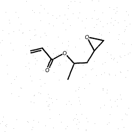 C=CC(=O)OC(C)CC1CO1